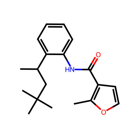 Cc1occc1C(=O)Nc1ccccc1C(C)CC(C)(C)C